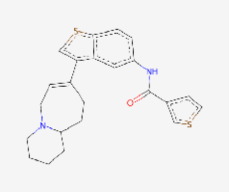 O=C(Nc1ccc2scc(C3=CCN4CCCCC4CC3)c2c1)c1ccsc1